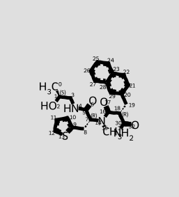 C[C@H](O)CNC(=O)[C@@H](Cc1cccs1)N(C)C(=O)[C@H](Cc1ccc2ccccc2c1)C(N)=O